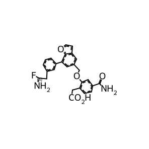 NC(=O)c1ccc(CC(=O)O)c(OCc2cc(-c3cccc(C[C@@H](N)F)c3)c3occc3c2)c1